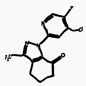 O=C1CCCc2c(C(F)(F)F)nn(-c3cc(Cl)c(F)cn3)c21